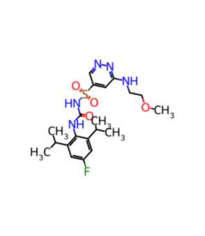 COCCNc1cc(S(=O)(=O)NC(=O)Nc2c(C(C)C)cc(F)cc2C(C)C)cnn1